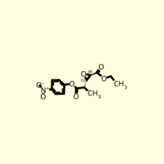 CCOC(=O)[C@@H]1O[C@H]1C(C)C(=O)Oc1ccc([N+](=O)[O-])cc1